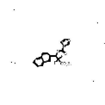 CCOC(=O)C(F)(F)C(OC(=S)n1ccnc1)c1ccc2ccccc2c1